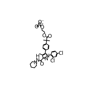 Cc1c(C(=O)NN2CCCCC2)nn(-c2ccc(Cl)cc2Cl)c1-c1ccc(C(C)(C)C(=O)OCCO[N+](=O)[O-])cc1